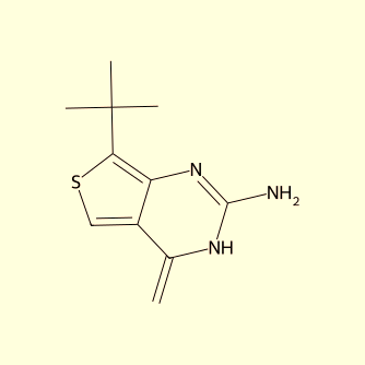 C=C1NC(N)=Nc2c1csc2C(C)(C)C